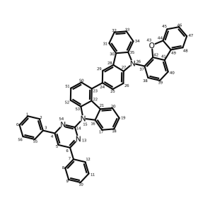 c1ccc(-c2cc(-c3ccccc3)nc(-n3c4ccccc4c4c(-c5ccc6c(c5)c5ccccc5n6-c5cccc6c5oc5ccccc56)cccc43)n2)cc1